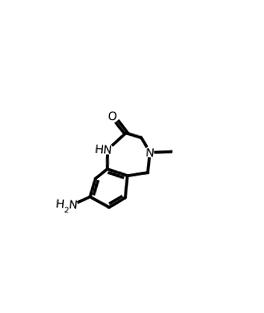 CN1CC(=O)Nc2cc(N)ccc2C1